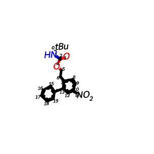 CC(C)(C)NC(=O)OCCc1ccc([N+](=O)[O-])cc1-c1ccccc1